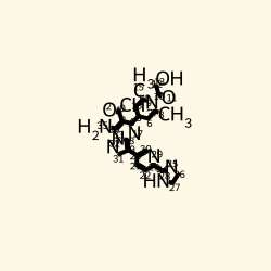 CC(=O)c1c(C2CC(C)N(C(=O)CO)C(C)C2)nc2c(-c3ccc(C4=NCCN4)nc3)cnn2c1N